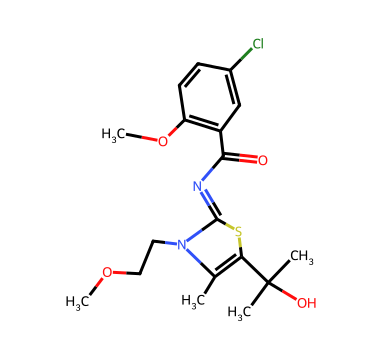 COCCn1c(C)c(C(C)(C)O)sc1=NC(=O)c1cc(Cl)ccc1OC